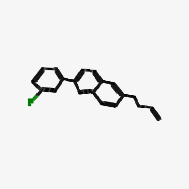 C=CCCc1ccc2cc(-c3cccc(F)c3)ccc2c1